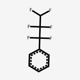 FC(F)C(F)(F)C(F)(F)c1ccccc1